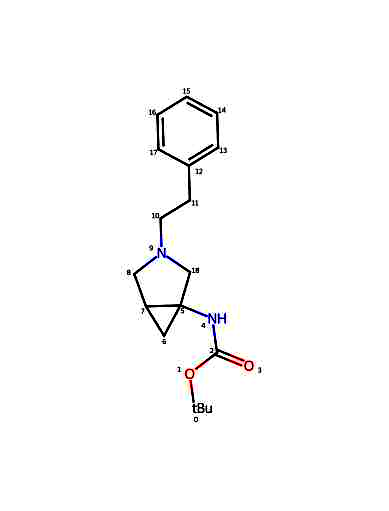 CC(C)(C)OC(=O)NC12CC1CN(CCc1ccccc1)C2